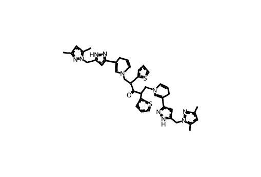 Cc1cc(C)n(Cc2cc(C3=CN(CC(C(=O)C(CN4C=CCC(c5cc(Cn6nc(C)cc6C)[nH]n5)=C4)c4cccs4)c4cccs4)C=CC3)n[nH]2)n1